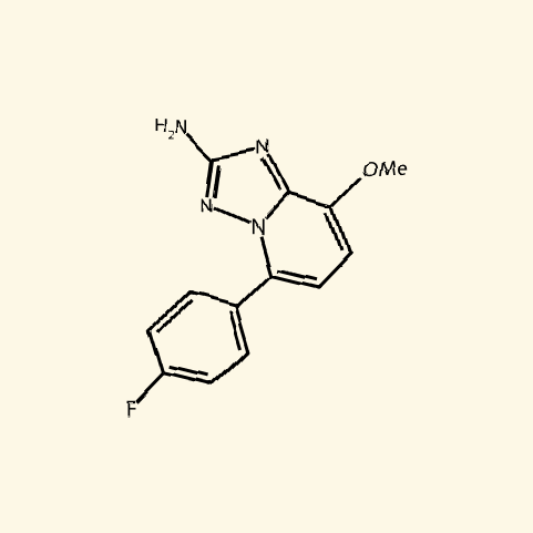 COc1ccc(-c2ccc(F)cc2)n2nc(N)nc12